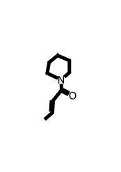 CC=CC(=O)N1CC[CH]CC1